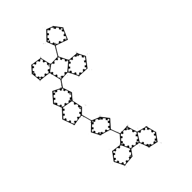 c1ccc(-c2c3ccccc3c(-c3ccc4ccc(-c5ccc(-c6cc7ccccc7c7ccccc67)cc5)cc4c3)c3ccccc23)cc1